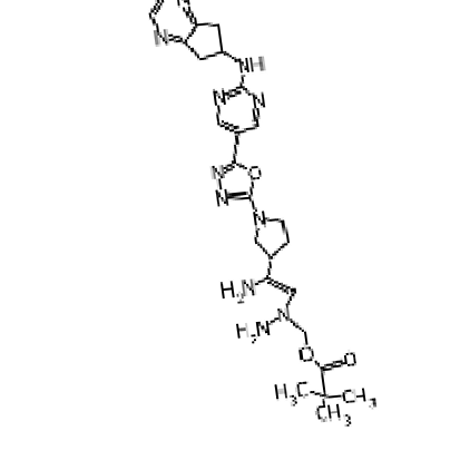 CC(C)(C)C(=O)OCN(N)/C=C(\N)C1CCN(c2nnc(-c3cnc(NC4Cc5nccnc5C4)nc3)o2)C1